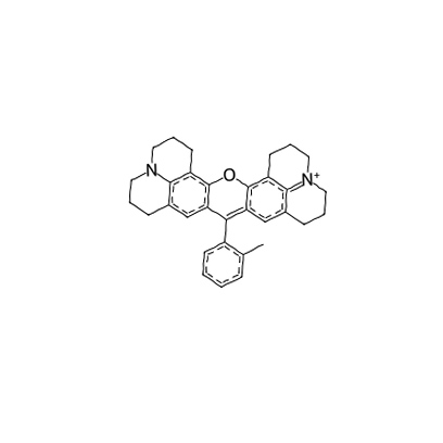 Cc1ccccc1C1=c2cc3c4c(c2Oc2c1cc1c5c2CCCN5CCC1)CCC[N+]=4CCC3